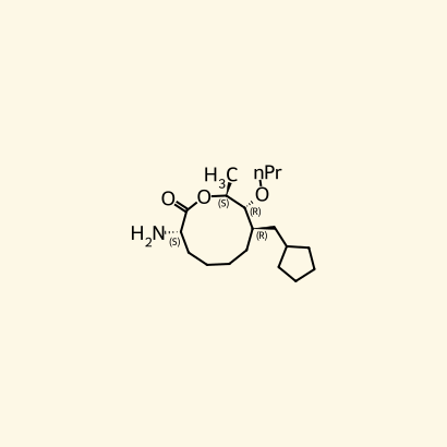 CCCO[C@@H]1[C@@H](CC2CCCC2)CCCC[C@H](N)C(=O)O[C@H]1C